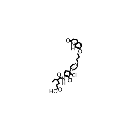 CCC(CCC(=O)O)C(=O)Nc1ccc(N2CCN(CCCCOc3ccc4c(c3)NC(=O)CC4)CC2)c(Cl)c1Cl